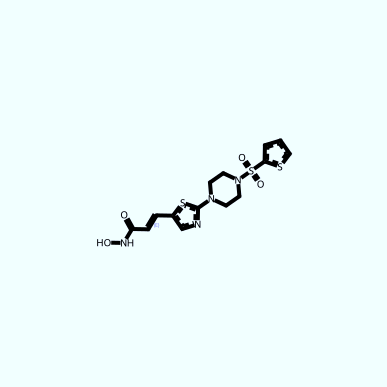 O=C(/C=C/c1cnc(N2CCN(S(=O)(=O)c3cccs3)CC2)s1)NO